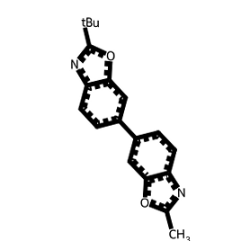 Cc1nc2ccc(-c3ccc4nc(C(C)(C)C)oc4c3)cc2o1